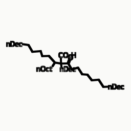 CCCCCCCCCCCCCCCCCC(=O)C(CCCCCCCCCC)(C(=O)O)C(CCCCCCCC)CCCCCCCCCCCCCCC